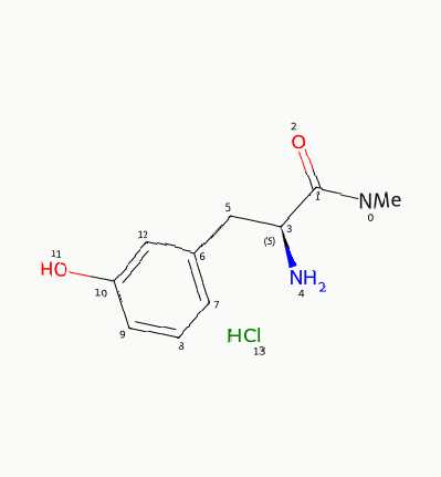 CNC(=O)[C@@H](N)Cc1cccc(O)c1.Cl